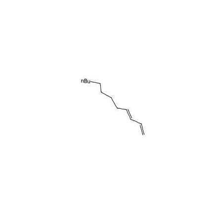 C=CC=CCCCCCC[CH]C